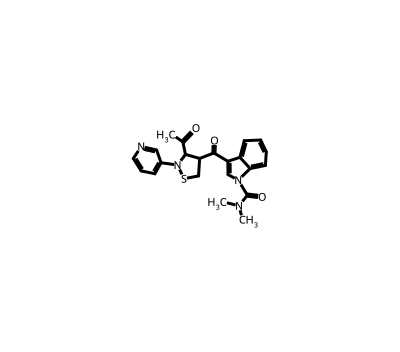 CC(=O)C1C(C(=O)c2cn(C(=O)N(C)C)c3ccccc23)CSN1c1cccnc1